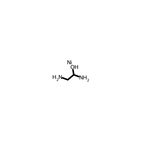 NCC(N)O.[Ni]